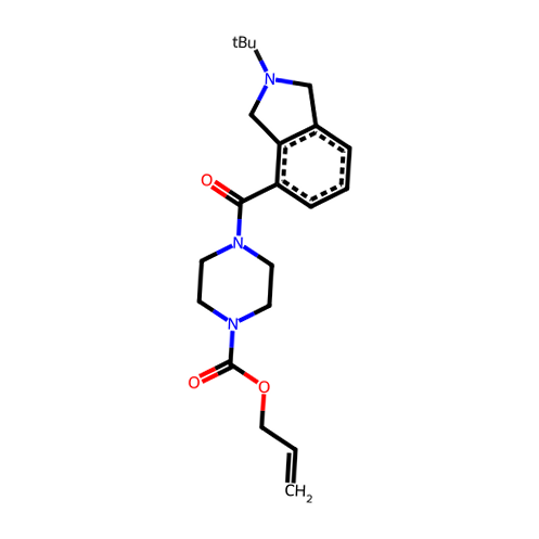 C=CCOC(=O)N1CCN(C(=O)c2cccc3c2CN(C(C)(C)C)C3)CC1